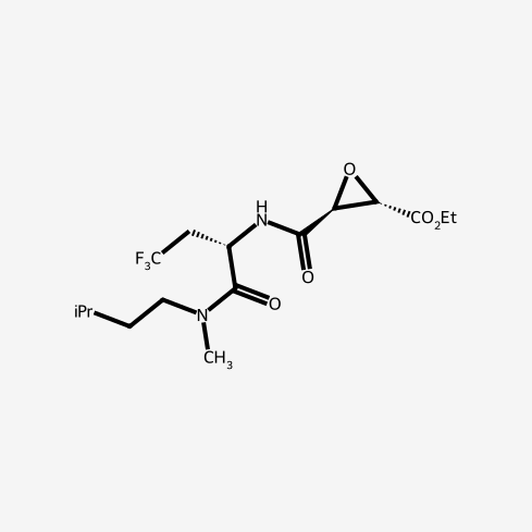 CCOC(=O)[C@H]1O[C@@H]1C(=O)N[C@@H](CC(F)(F)F)C(=O)N(C)CCC(C)C